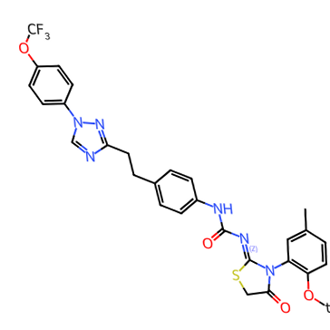 Cc1ccc(OC(C)(C)C)c(N2C(=O)CS/C2=N\C(=O)Nc2ccc(CCc3ncn(-c4ccc(OC(F)(F)F)cc4)n3)cc2)c1